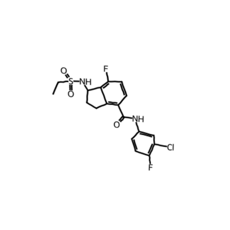 CCS(=O)(=O)NC1CCc2c(C(=O)Nc3ccc(F)c(Cl)c3)ccc(F)c21